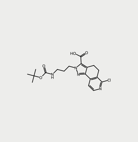 CC(C)(C)OC(=O)NCCCn1nc2c(c1C(=O)O)CCc1c-2ccnc1Cl